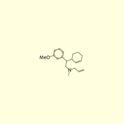 C=CCN(C)CC(c1cccc(OC)c1)C1C=CCCC1